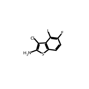 Nc1sc2ccc(F)c(I)c2c1Cl